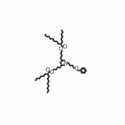 CCCCCCCCC(CCCCCC)C(=O)OCCCCC1CC(CCCCOC(=O)C(CCCCCC)CCCCCCCC)CN(CCCCOCc2ccccc2)C1